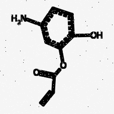 C=CC(=O)Oc1cc(N)ccc1O